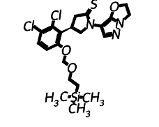 C[Si](C)(C)CCOCOc1ccc(Cl)c(Cl)c1[C@H]1CC(=S)N(c2cnn3c2OCC3)C1